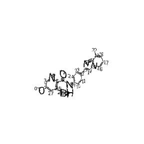 COc1cnc(C(=O)Nc2ccc(-c3cn4cccc(C)c4n3)cc2)c(Br)c1